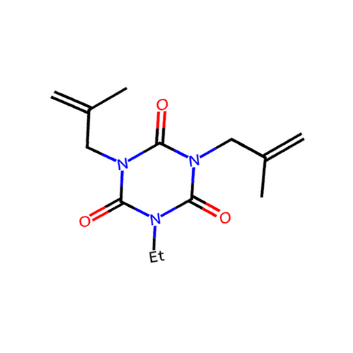 C=C(C)Cn1c(=O)n(CC)c(=O)n(CC(=C)C)c1=O